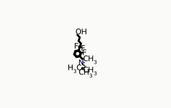 C/C(=N\SC(C)(C)C)c1cccc(C(F)(F)CCCCO)c1F